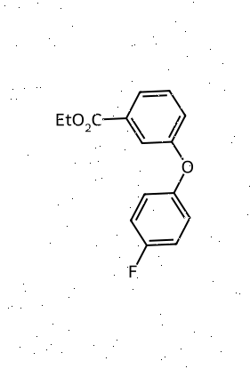 CCOC(=O)c1cccc(Oc2ccc(F)cc2)c1